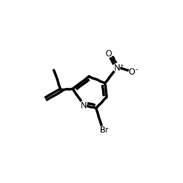 C=C(C)c1cc([N+](=O)[O-])cc(Br)n1